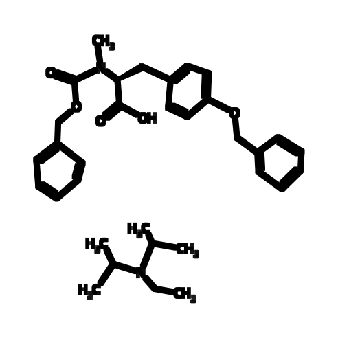 CCN(C(C)C)C(C)C.CN(C(=O)OCc1ccccc1)[C@@H](Cc1ccc(OCc2ccccc2)cc1)C(=O)O